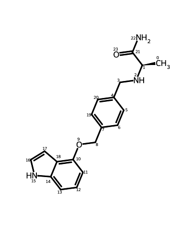 C[C@@H](NCc1ccc(COc2cccc3[nH]ccc23)cc1)C(N)=O